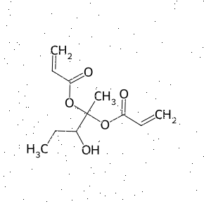 C=CC(=O)OC(C)(OC(=O)C=C)C(O)CC